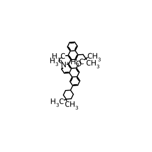 Cc1c2c(c(CC(C)(C)C)c3ccccc13)Oc1cc3ccc(C4CCC(C)(C)CC4)cc3c3cc[n+](C)c-2c13